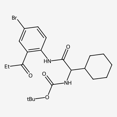 CCC(=O)c1cc(Br)ccc1NC(=O)C(NC(=O)OC(C)(C)C)C1CCCCC1